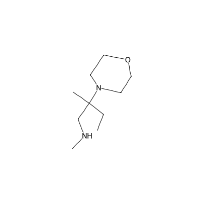 CCC(C)(CNC)N1CCOCC1